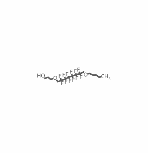 CCCCCOCC(F)(F)C(F)(F)C(F)(F)C(F)(F)C(F)(F)C(F)(F)COCCCO